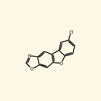 Clc1ccc2oc3cc4ocnc4cc3c2c1